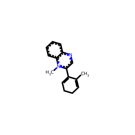 CC1=CCCC=C1c1cnc2ccccc2[n+]1C